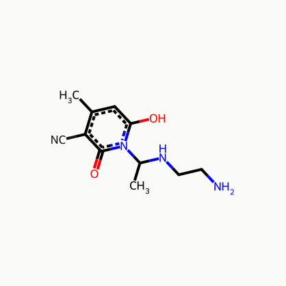 Cc1cc(O)n(C(C)NCCN)c(=O)c1C#N